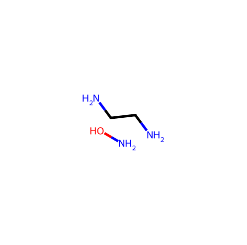 NCCN.NO